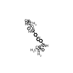 COC(=O)N[C@@H](C)C(=O)N1CCC[C@H]1c1ncc(-c2ccc(-c3ccc4cc(-c5c[nH]c([C@@H]6CCCN6C(=O)[C@@H](N)C(C)C)n5)ccc4n3)cc2)[nH]1